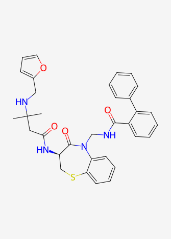 CC(C)(CC(=O)N[C@@H]1CSc2ccccc2N(CNC(=O)c2ccccc2-c2ccccc2)C1=O)NCc1ccco1